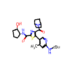 Cc1cc(NC(C)(C)C)ncc1-c1sc(C(=O)N[C@@H]2CCC[C@H]2O)nc1C(=O)N1C2CCC1CC2